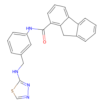 O=C(Nc1cccc(CNc2nncs2)c1)c1cccc2c1Cc1ccccc1-2